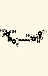 COc1ccc(C2=NOC(c3cc(CO)c(CO)c(CO)c3)C2)cc1OCCCCCCCCOc1ccc(C2NC(=O)c3cc(C)ccc3N2)cc1CO